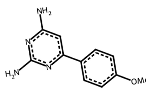 COc1ccc(-c2cc(N)nc(N)n2)cc1